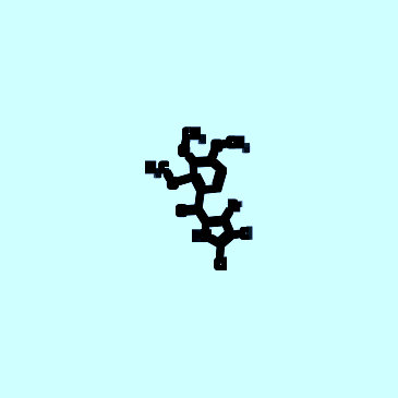 COc1ccc(C(=O)c2[nH]c(Cl)c(Cl)c2Br)c(OC)c1OC